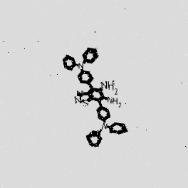 Nc1c(N)c(-c2ccc(N(c3ccccc3)c3ccccc3)cc2)c2snnc2c1-c1ccc(N(c2ccccc2)c2ccccc2)cc1